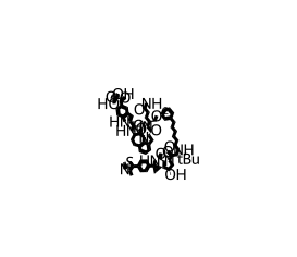 Cc1ncsc1-c1ccc(C2(NC(=O)[C@@H]3C[C@@H](O)CN3C(=O)[C@@H](NC(=O)CCCCCc3cccc(OC[C@H](CCC(N)=O)NC(=O)[C@@H]4Cc5cccc6c5N4C(=O)[C@@H](NC(=O)c4cc5cc(C(=O)P(=O)(O)O)ccc5[nH]4)CC6)c3)C(C)(C)C)CC2)cc1